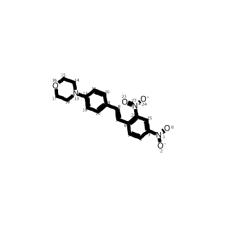 O=[N+]([O-])c1ccc(C=Cc2ccc(N3CCOCC3)cc2)c([N+](=O)[O-])c1